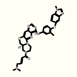 Cc1cc(Nc2ncnc3cc4c(nc23)N2CCN(C(=O)/C=C/CN(C)C)C[C@H]2CO4)ccc1Oc1ccc2c(c1)ncn2C